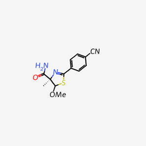 COC1SC(c2ccc(C#N)cc2)=N[C@]1(C)C(N)=O